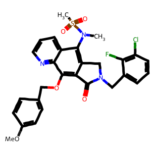 COc1ccc(COc2c3c(c(N(C)S(C)(=O)=O)c4cccnc24)CN(Cc2cccc(Cl)c2F)C3=O)cc1